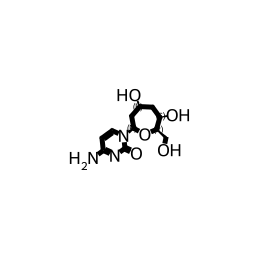 Nc1ccn([C@H]2C[C@H](O)C[C@H](O)[C@@H](CO)O2)c(=O)n1